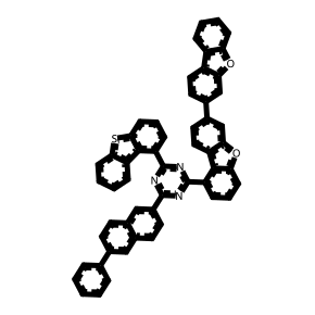 c1ccc(-c2ccc3cc(-c4nc(-c5cccc6oc7cc(-c8ccc9c(c8)oc8ccccc89)ccc7c56)nc(-c5cccc6sc7ccccc7c56)n4)ccc3c2)cc1